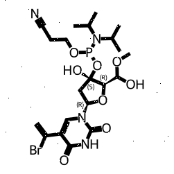 C=C(Br)c1cn([C@H]2C[C@](O)(OP(OCCC#N)N(C(C)C)C(C)C)[C@@H](C(O)OC)O2)c(=O)[nH]c1=O